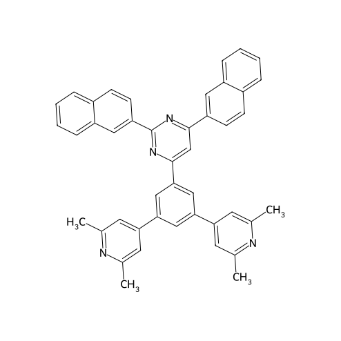 Cc1cc(-c2cc(-c3cc(C)nc(C)c3)cc(-c3cc(-c4ccc5ccccc5c4)nc(-c4ccc5ccccc5c4)n3)c2)cc(C)n1